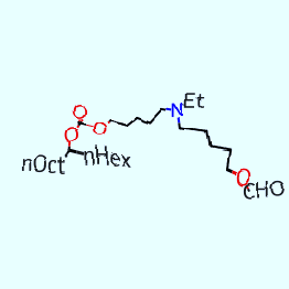 CCCCCCCCC(CCCCCC)OC(=O)OCCCCCN(CC)CCCCCOC=O